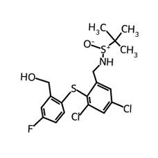 CC(C)(C)[S+]([O-])NCc1cc(Cl)cc(Cl)c1Sc1ccc(F)cc1CO